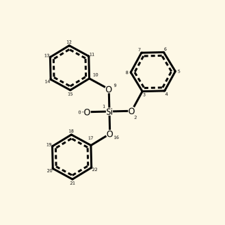 [O][Si](Oc1ccccc1)(Oc1ccccc1)Oc1ccccc1